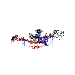 CC(C)(C)[C@@H](NCC[C@H](NC(=O)[C@@H](CC(N)=O)NC(=O)CCOCCOCCOCCOCCNC(=O)CCOCCN1C(=O)C=CC1=O)C(=O)NCCC(=O)N[C@H](CCC(=O)O)C(=O)O)c1cc(-c2cc(F)ccc2F)cn1Cc1ccccc1.OCCO